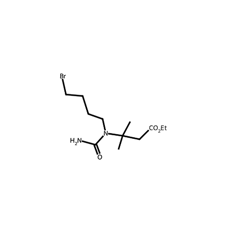 CCOC(=O)CC(C)(C)N(CCCCBr)C(N)=O